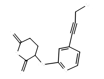 NCC#Cc1ccnc(NC2CCC(=O)NC2=O)c1